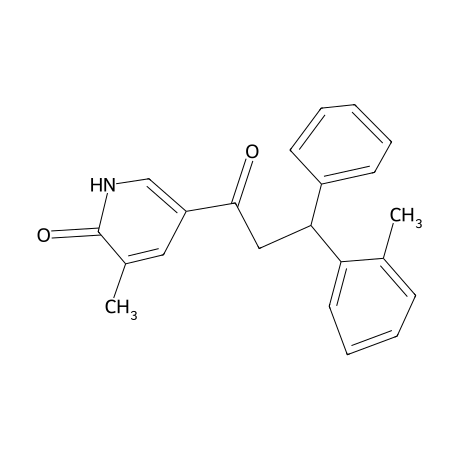 Cc1ccccc1C(CC(=O)c1c[nH]c(=O)c(C)c1)c1ccccc1